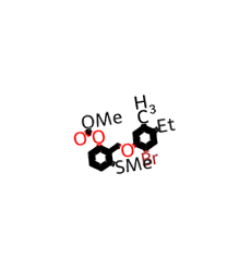 CCc1cc(Br)c(OCc2c(OC(=O)OC)cccc2SC)cc1C